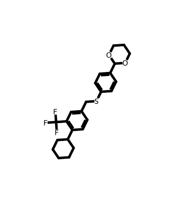 FC(F)(F)c1cc(CSc2ccc(C3OCCCO3)cc2)ccc1C1CCCCC1